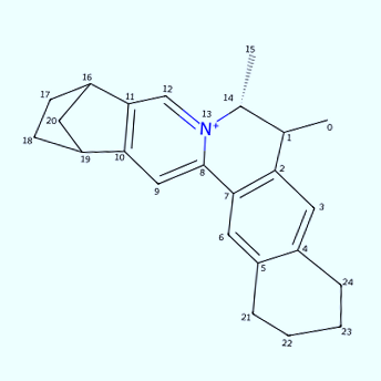 CC1c2cc3c(cc2-c2cc4c(c[n+]2[C@@H]1C)C1CCC4C1)CCCC3